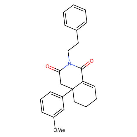 COc1cccc(C23CCCC=C2C(=O)N(CCc2ccccc2)C(=O)C3)c1